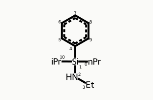 CCC[Si](NCC)(c1ccccc1)C(C)C